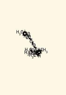 Cc1ccc(S(=O)(=O)OCCOCCOCCN(C(=O)OC(C)(C)C)[C@]23C[C@@H]4C[C@@](C)(C[C@@](C)(C4)C2)C3)cc1